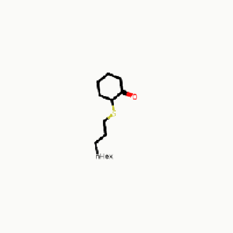 CCCCCCCCCSC1CCCCC1=O